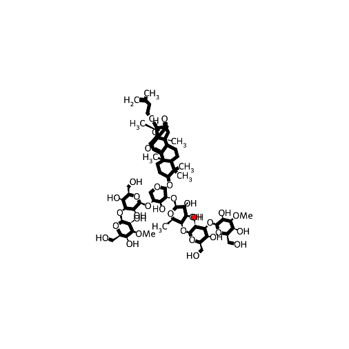 C=C(C)CCC[C@]1(C)OC(=O)C23CC=C4C(CCC5C(C)(C)C(O[C@@H]6OC[C@@H](O[C@@H]7O[C@H](CO)[C@@H](O)[C@H](O[C@@H]8O[C@H](CO)[C@@H](O)[C@H](OC)[C@H]8O)[C@H]7O)[C@H](O)[C@H]6O[C@@H]6O[C@H](C)[C@@H](O[C@@H]7O[C@H](CO)[C@@H](O)[C@H](O[C@@H]8O[C@H](CO)[C@@H](O)[C@H](OC)[C@H]8O)[C@H]7O)[C@H](O)[C@H]6O)CC[C@]45C)[C@]2(C)CC(=O)[C@@H]31